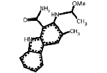 COC(C)Nc1c(C)cc2c([nH]c3ccccc32)c1C(N)=O